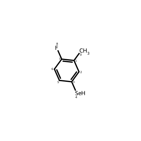 Cc1cc([SeH])ccc1F